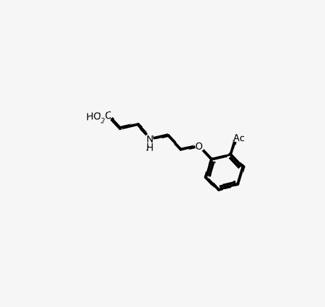 CC(=O)c1ccccc1OCCNCCC(=O)O